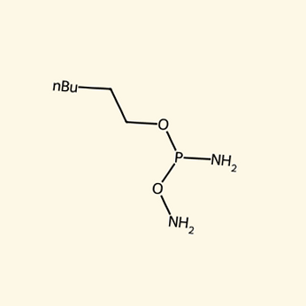 CCCCCCOP(N)ON